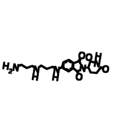 NCCCNCCCNc1ccc2c(c1)C(=O)N(C1CCC(=O)NC1=O)C2=O